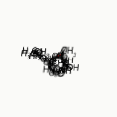 CCCCOc1c2cccc1C(=O)NCCN(CCOCCOCCNC(=O)OC(C)(C)C)CCNC(=O)c1cccc(c1OCCCC)C(=O)NCCN(CCO)CCNC2=O